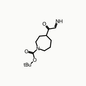 CC(C)(C)OC(=O)N1CCCC(C(=O)C=N)CC1